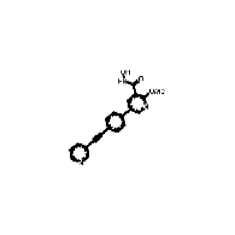 COc1ncc(-c2ccc(C#Cc3cccnc3)cc2)cc1C(=O)NO